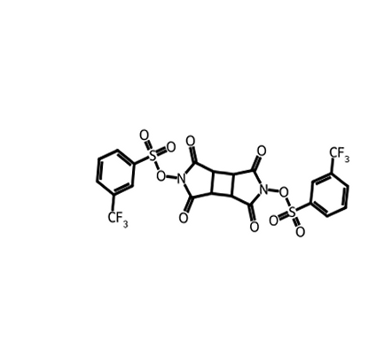 O=C1C2C(C(=O)N1OS(=O)(=O)c1cccc(C(F)(F)F)c1)C1C(=O)N(OS(=O)(=O)c3cccc(C(F)(F)F)c3)C(=O)C21